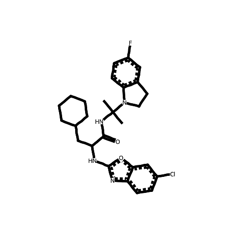 CC(C)(NC(=O)C(CC1CCCCC1)Nc1nc2ccc(Cl)cc2o1)N1CCc2cc(F)ccc21